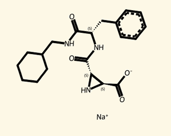 O=C(NCC1CCCCC1)[C@H](Cc1ccccc1)NC(=O)[C@H]1N[C@@H]1C(=O)[O-].[Na+]